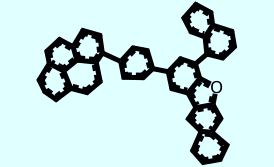 c1ccc2cc3c(cc2c1)oc1c(-c2cccc4ccccc24)cc(-c2ccc(-c4ccc5ccc6cccc7ccc4c5c67)cc2)cc13